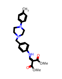 COC(=O)C(=CNc1ccc(CN2CCN(c3ccc(C)cc3)CC2)cc1)C(=O)OC